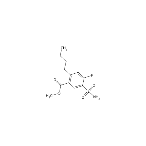 CCCCc1cc(F)c(S(N)(=O)=O)cc1C(=O)OC